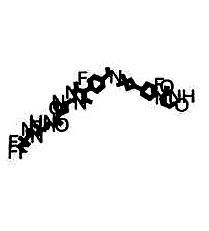 Cc1nc(-c2cc(C(=O)NCc3nc(C(C)(C)C(F)(F)F)n[nH]3)on2)nc(C)c1-c1ccc(C(C)N2CC3(CC(c4ccc(N5CCC(=O)NC5=O)c(F)c4)C3)C2)cc1F